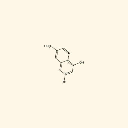 O=C(O)c1cnc2c(O)cc(Br)cc2c1